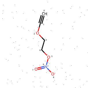 C#COCCO[N+](=O)[O-]